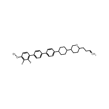 C=CCCC1CCC(C2CCC(c3ccc(-c4ccc(-c5ccc(OCC)c(F)c5F)cc4)cc3)CC2)CO1